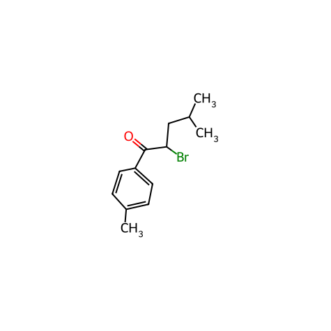 Cc1ccc(C(=O)C(Br)CC(C)C)cc1